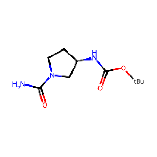 CC(C)(C)OC(=O)N[C@@H]1CCN(C(N)=O)C1